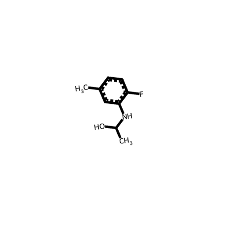 Cc1ccc(F)c(NC(C)O)c1